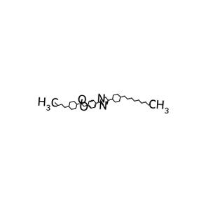 CCCCCCCCCC1CCC(c2cnc(-c3ccc(OC(=O)C4CCC(CCCC)CC4)cc3)nc2)CC1